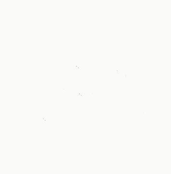 O=C(N[C@@H](c1ccc(C(F)(F)F)cc1)c1ncccc1C(F)(F)F)c1ccc(Cl)nc1